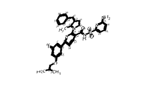 CC(C)COc1cc(F)cc(-c2ccc(C(=O)NS(=O)(=O)c3cccc(N)n3)c(N3CCC(Cc4ccccc4)C3C)n2)c1